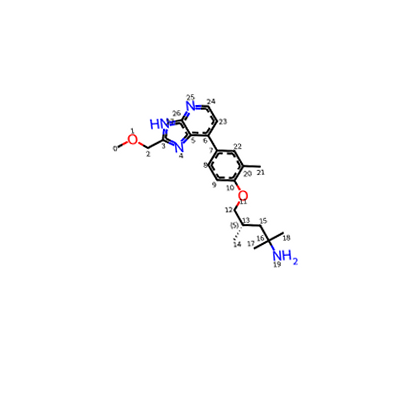 COCc1nc2c(-c3ccc(OC[C@@H](C)CC(C)(C)N)c(C)c3)ccnc2[nH]1